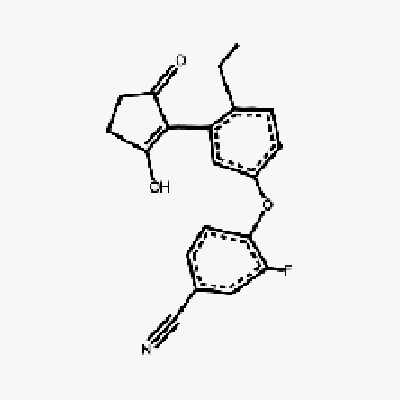 CCc1ccc(Oc2ccc(C#N)cc2F)cc1C1=C(O)CCC1=O